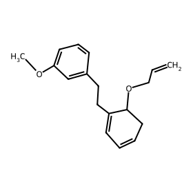 C=CCOC1CC=CC=C1CCc1cccc(OC)c1